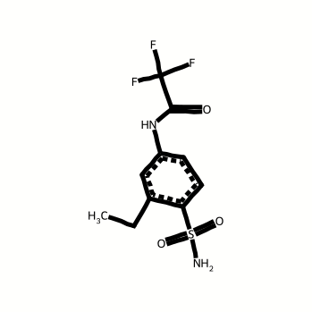 CCc1cc(NC(=O)C(F)(F)F)ccc1S(N)(=O)=O